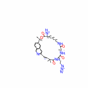 C[C@@H]1NC(=O)[C@H](CCN=[N+]=[N-])NC(=O)C(C)(C)/C=C/c2cc3cc(ccc3cn2)[C@@H](C)OC(=O)[C@@H](N)CCCNC1=O